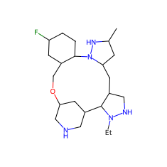 CCN1NCC2CC3CC(C)NN3C3CCC(F)CC3COC3CNCC(C3)C21